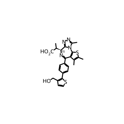 Cc1sc2c(c1C)C(c1ccc(-c3sccc3CO)cc1)=N[C@@H](C(C)C(=O)O)c1nnc(C)n1-2